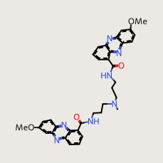 COc1ccc2nc3c(C(=O)NCCCN(C)CCCNC(=O)c4cccc5nc6cc(OC)ccc6nc45)cccc3nc2c1